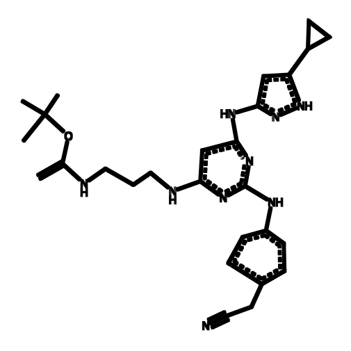 C=C(NCCCNc1cc(Nc2cc(C3CC3)[nH]n2)nc(Nc2ccc(CC#N)cc2)n1)OC(C)(C)C